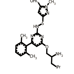 Cc1cccc(C)c1-c1cc(OCC(N)CC(C)C)nc(NSc2cc(C=O)n(C)n2)n1